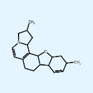 CC1C=CC2C(C1)OC1C3=C(C=CN4CC(C)CC34)CCC12